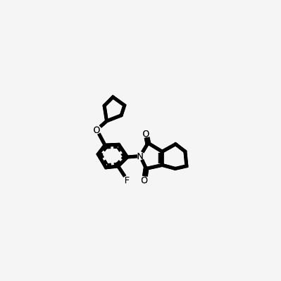 O=C1C2=C(CCCC2)C(=O)N1c1cc(OC2CCCC2)ccc1F